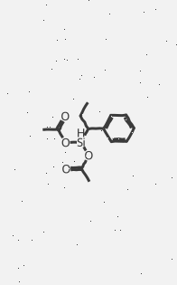 CCC(c1ccccc1)[SiH](OC(C)=O)OC(C)=O